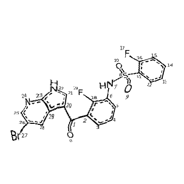 O=C(c1cccc(NS(=O)(=O)c2ccccc2F)c1F)c1c[nH]c2ncc(Br)cc12